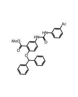 COC(=O)c1cc(NC(=O)Nc2cccc(C(C)=O)c2)ccc1OC(c1ccccc1)c1ccccc1